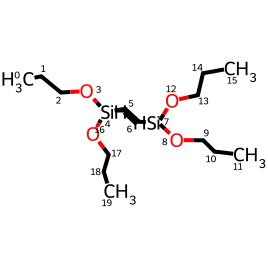 CCCO[SiH](C=C[SiH](OCCC)OCCC)OCCC